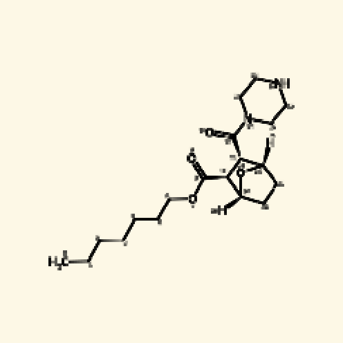 CCCCCCCOC(=O)[C@H]1[C@@H](C(=O)N2CCNCC2)[C@@H]2CC[C@H]1O2